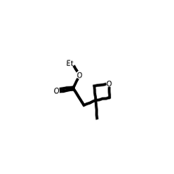 CCOC(=O)CC1(C)COC1